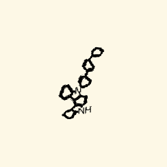 c1ccc(-c2ccc(-c3ccc(-n4c5ccccc5c5c6c(ccc54)[nH]c4ccccc46)cc3)cc2)cc1